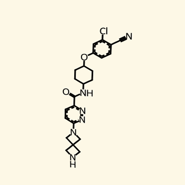 N#Cc1ccc(OC2CCC(NC(=O)c3ccc(N4CC5(CNC5)C4)nn3)CC2)cc1Cl